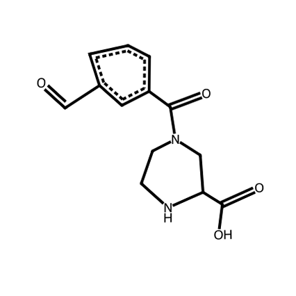 O=Cc1cccc(C(=O)N2CCNC(C(=O)O)C2)c1